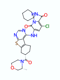 C[C@@H]1COCCN1C(=O)[C@H]1CCc2c(sc3ncnc(Nc4cc(Cl)c5n(c4=O)C4(CCCCC4)NC5=O)c23)C1